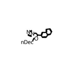 CCCCCCCCCCCOC(Cn1ccnc1)c1ccc2ccccc2c1